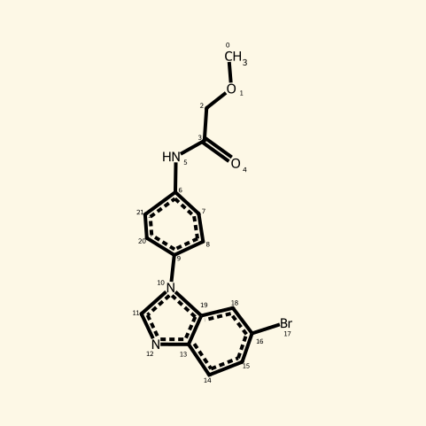 COCC(=O)Nc1ccc(-n2cnc3ccc(Br)cc32)cc1